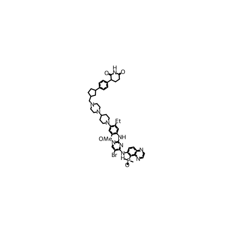 CCc1cc(Nc2ncc(Br)c(Nc3ccc4nccnc4c3P(C)(C)=O)n2)c(OC)cc1N1CCC(N2CCN(CC3CCC(c4ccc(C5CCC(=O)NC5=O)cc4)C3)CC2)CC1